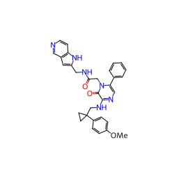 COc1ccc(C2(CNc3ncc(-c4ccccc4)n(CC(=O)NCc4cc5cnccc5[nH]4)c3=O)CC2)cc1